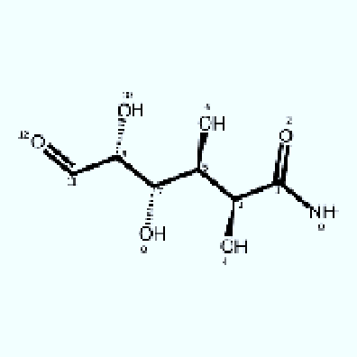 [NH]C(=O)[C@@H](O)[C@H](O)[C@H](O)[C@@H](O)C=O